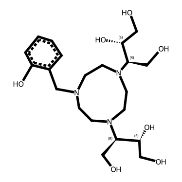 OC[C@@H](O)[C@@H](CO)N1CCN(Cc2ccccc2O)CCN([C@H](CO)[C@H](O)CO)CC1